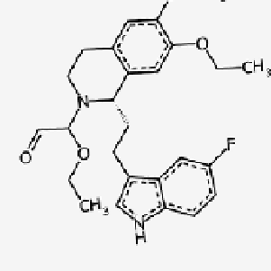 CCOc1cc2c(cc1OC)CCN(C(C=O)OCC)[C@H]2CCc1c[nH]c2ccc(F)cc12